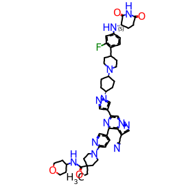 CCC1(C(=O)NC2CCOCC2)CCN(c2ccc(-c3nc(-c4cnn([C@H]5CC[C@H](N6CCC(c7ccc(N[C@H]8CCC(=O)NC8=O)cc7F)CC6)CC5)c4)cn4ncc(C#N)c34)cn2)CC1